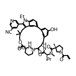 C=CC(=O)N1CC[C@@](C)(C(=O)N(C)[C@H](C(=O)N[C@H]2Cc3cc(O)cc(c3)-c3ccc4c(c3)c(c(-c3cncc(C#N)c3)n4CC)CC(C)(C)COC(=O)[C@@]3(O)CCCN(N3)C2=O)C(C)C)C1